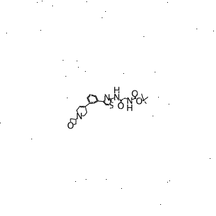 CC(C)(C)OC(=O)NCC(=O)Nc1nc(-c2cccc(C3=CCN(C4COC4)CC3)c2)cs1